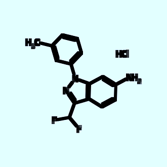 Cc1cccc(-n2nc(C(F)F)c3ccc(N)cc32)c1.Cl